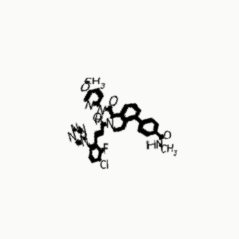 CNC(=O)c1ccc(-c2cccc3c2CCN(C(=O)/C=C/c2c(-n4cnnn4)ccc(Cl)c2F)C3C(=O)Nc2ccc(OC)cn2)cc1